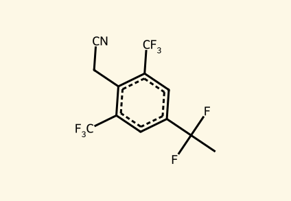 CC(F)(F)c1cc(C(F)(F)F)c(CC#N)c(C(F)(F)F)c1